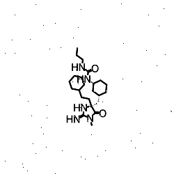 CCCNC(=O)N[C@@H]1CCC[C@H](C[C@@]2(CCC3CCCCC3)NC(=N)N(C)C2=O)C1